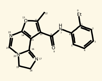 CCc1ccccc1NC(=O)c1c(C)oc2c1C1=NCCN1C=N2